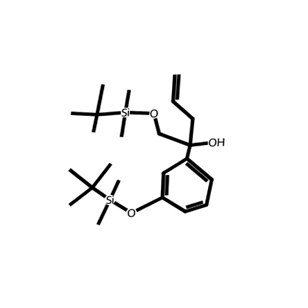 C=CCC(O)(CO[Si](C)(C)C(C)(C)C)c1cccc(O[Si](C)(C)C(C)(C)C)c1